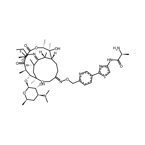 CCC(=O)/N=C1\[C@H](C)C[C@@]2(C)OC/C(=N/OCc3ccc(-c4nc(NC(=O)[C@H](C)N)cs4)cn3)CC[C@H]([C@H]1C)[C@](C)(O)[C@@H](I)OC(=O)[C@@](C)(F)C(=O)[C@H](C)[C@H]2O[C@@H]1O[C@H](C)C[C@H](N(C)C)[C@H]1O